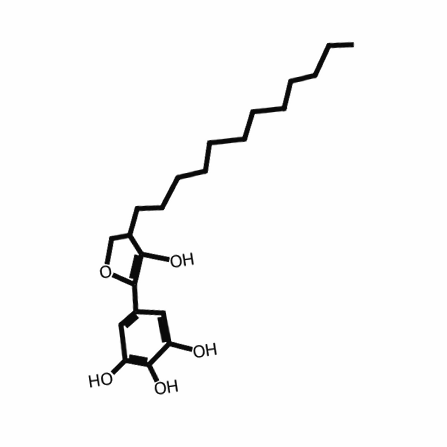 CCCCCCCCCCCCC1COC(c2cc(O)c(O)c(O)c2)=C1O